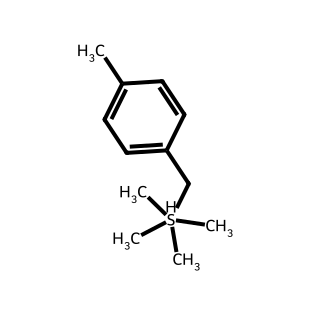 Cc1ccc(C[SH](C)(C)(C)C)cc1